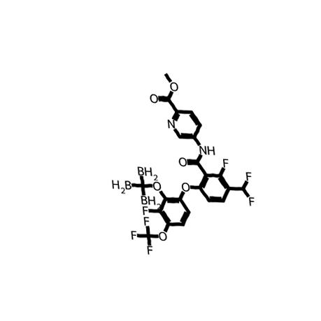 BC(B)(B)Oc1c(Oc2ccc(C(F)F)c(F)c2C(=O)Nc2ccc(C(=O)OC)nc2)ccc(OC(F)(F)F)c1F